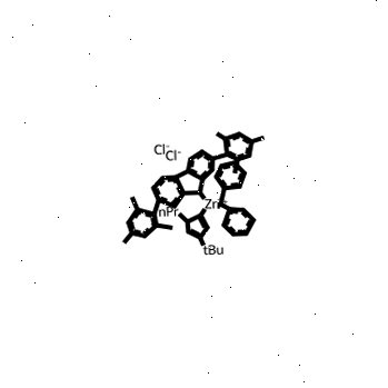 CCCC1C=C(C(C)(C)C)C=[C]1[Zr+2](=[C](c1ccccc1)c1ccccc1)[CH]1c2cc(-c3c(C)cc(C)cc3C)ccc2-c2ccc(-c3c(C)cc(C)cc3C)cc21.[Cl-].[Cl-]